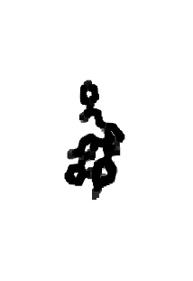 Cc1ccccc1-n1nc(-c2c(-c3ccc(F)cc3)nn3c2N(CCC(=O)N2CCOCC2)CC3)ccc1=O